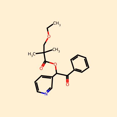 CCOCC(C)(C)C(=O)OC(C(=O)c1ccccc1)c1cccnc1